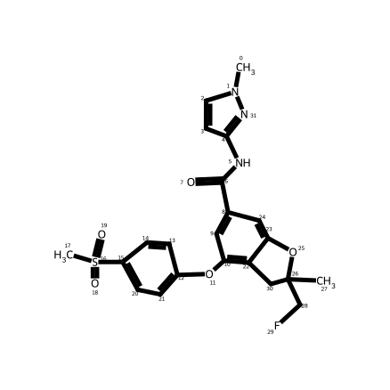 Cn1ccc(NC(=O)c2cc(Oc3ccc(S(C)(=O)=O)cc3)c3c(c2)OC(C)(CF)C3)n1